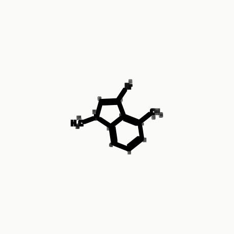 Cc1cccc2c1c(Br)cn2C